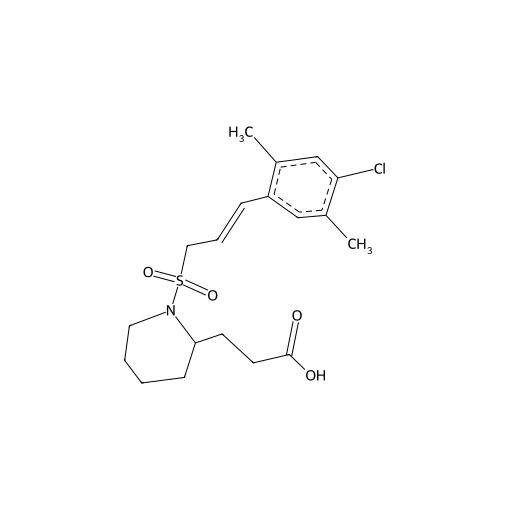 Cc1cc(C=CCS(=O)(=O)N2CCCCC2CCC(=O)O)c(C)cc1Cl